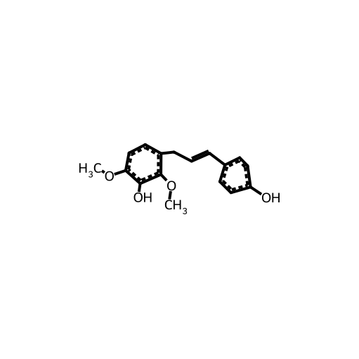 COc1ccc(C/C=C/c2ccc(O)cc2)c(OC)c1O